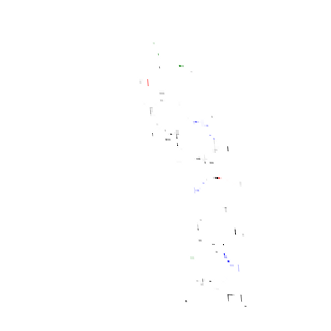 C[C@@H](N[C@H]1CC[C@H](NC(=O)c2cnc3cc(OC(F)F)c(F)cc3c2)CC1)C(F)F